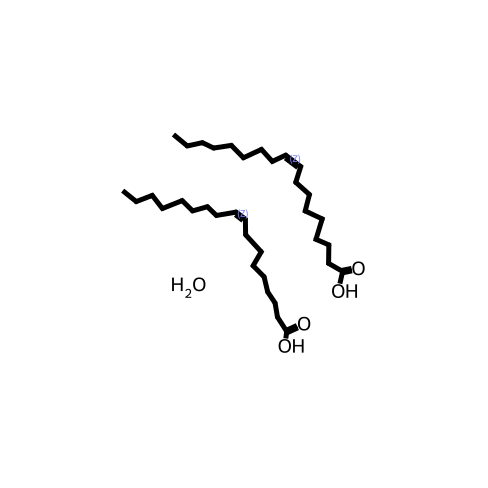 CCCCCCCC/C=C\CCCCCCCC(=O)O.CCCCCCCC/C=C\CCCCCCCC(=O)O.O